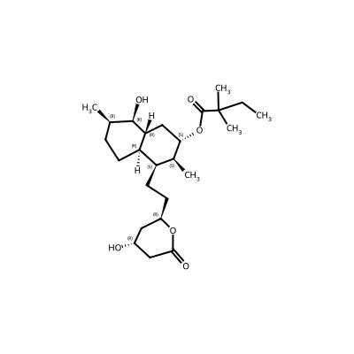 CCC(C)(C)C(=O)O[C@H]1C[C@H]2[C@H](O)[C@H](C)CC[C@@H]2[C@H](CC[C@@H]2C[C@@H](O)CC(=O)O2)[C@@H]1C